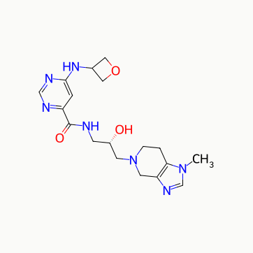 Cn1cnc2c1CCN(C[C@@H](O)CNC(=O)c1cc(NC3COC3)ncn1)C2